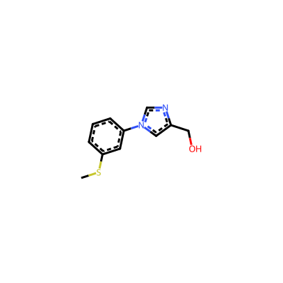 CSc1cccc(-n2cnc(CO)c2)c1